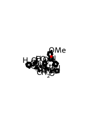 C=C[C@@H]1C[C@]1(NC(=O)[C@@H]1C[C@@H](Oc2cc(-c3ccccc3)nc3cc(OC)ccc23)CN1C(=O)[C@@H](NC(=O)OC1CCCC1)C(C)(C)C)P(=O)(Oc1ccccc1)O[C@@H](C)C(=O)O